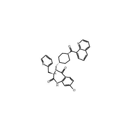 O=C1Nc2cc(Cl)ccc2C(=O)N(C[C@H]2CC[C@H](C(=O)c3cccc4cccnc34)CC2)[C@@H]1Cc1ccccn1